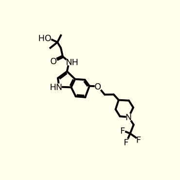 CC(C)(O)CC(=O)Nc1c[nH]c2ccc(OCCC3CCN(CC(F)(F)F)CC3)cc12